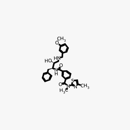 COc1cccc(CNC[C@@H](O)[C@H](Cc2ccccc2)NC(=O)c2cccc(C(=O)N(C)c3nc(C)cs3)c2)c1